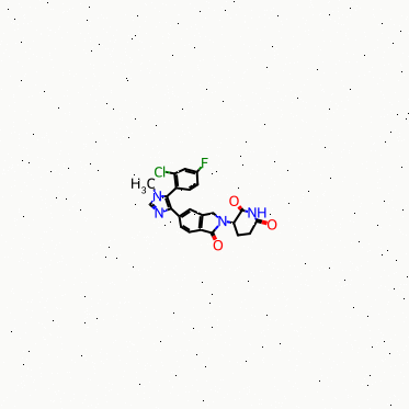 Cn1cnc(-c2ccc3c(c2)CN(C2CCC(=O)NC2=O)C3=O)c1-c1ccc(F)cc1Cl